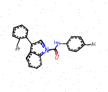 CC(=O)c1ccc(NC(=O)n2cc(-c3ccccc3C(C)C)c3ccccc32)cc1